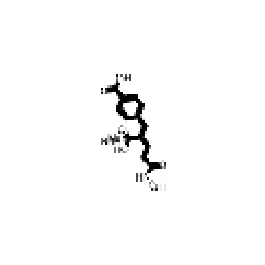 O=C(CCC(Cc1ccc(C(=O)O)cc1)C(=O)O)NO.[NaH].[NaH]